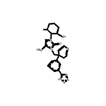 CCCCc1cn(C2C(C)CCCC2C(C)C)c(=O)n1CC1(c2cccc(-c3nnn[nH]3)c2)C=CN=CC1